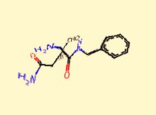 NC(=O)C[C@@](N)(C=O)C(=O)NCc1ccccc1